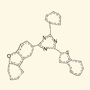 c1ccc(-c2nc(-c3ccc4oc5ccccc5c4c3)nc(-c3cc4ccccc4s3)n2)cc1